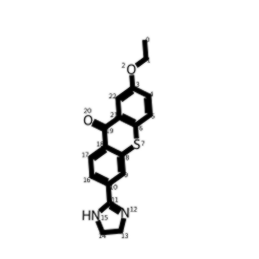 CCOc1ccc2sc3cc(C4=NCCN4)ccc3c(=O)c2c1